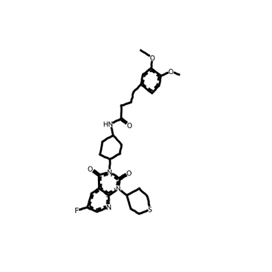 COc1ccc(CCCC(=O)NC2CCC(n3c(=O)c4cc(F)cnc4n(C4CCSCC4)c3=O)CC2)cc1OC